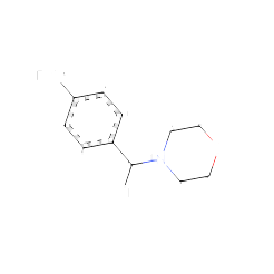 CC(c1ccc(C(F)(F)F)cc1)N1CCOCC1